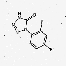 O=c1[nH]nnn1-c1ccc(Br)cc1F